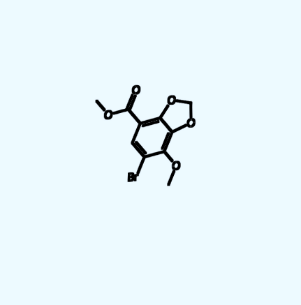 COC(=O)c1cc(Br)c(OC)c2c1OCO2